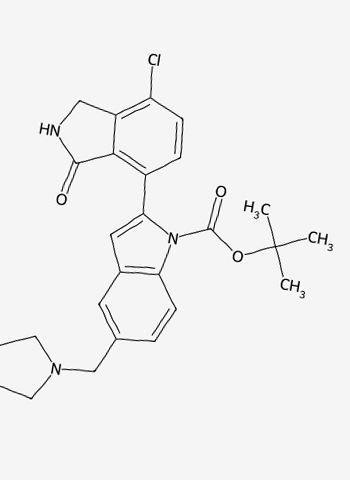 CC(C)(C)OC(=O)n1c(-c2ccc(Cl)c3c2C(=O)NC3)cc2cc(CN3CCCC3)ccc21